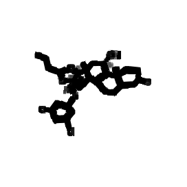 CCCC1O[C@@H]2CC3C4CCC5=CC(=O)C=CC5(C)C4[C@@H](O)CC3(C)[C@]2(C(=O)CSc2cc(Cl)cc(Cl)c2)O1